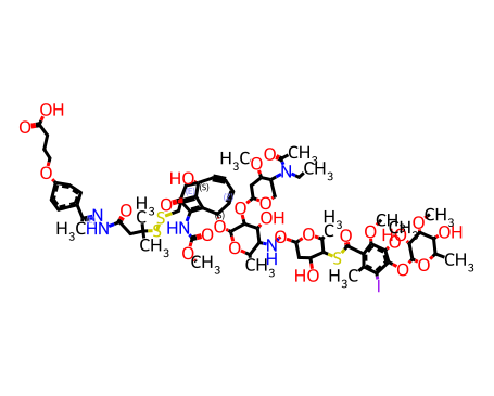 CCN(C(C)=O)C1COC(OC2C(O[C@H]3/C=C\C#C[C@]4(O)CC(=O)C(NC(=O)OC)=C3/C4=C\CSSC(C)(C)CC(=O)N/N=C(\C)c3ccc(OCCCC(=O)O)cc3)OC(C)C(NOC3CC(O)C(SC(=O)c4c(C)c(I)c(OC5OC(C)C(O)C(OC)C5O)c(OC)c4OC)C(C)O3)C2O)CC1OC